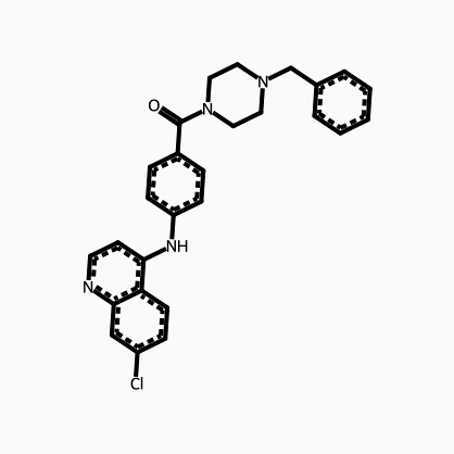 O=C(c1ccc(Nc2ccnc3cc(Cl)ccc23)cc1)N1CCN(Cc2ccccc2)CC1